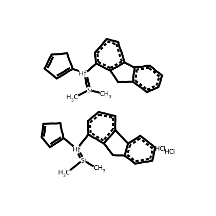 C[Si](C)=[Hf]([C]1=CC=CC1)[c]1cccc2c1Cc1ccccc1-2.C[Si](C)=[Hf]([C]1=CC=CC1)[c]1cccc2c1Cc1ccccc1-2.Cl.Cl